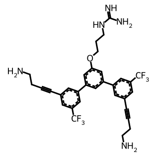 N=C(N)NCCCOc1cc(-c2cc(C#CCCN)cc(C(F)(F)F)c2)cc(-c2cc(C#CCCN)cc(C(F)(F)F)c2)c1